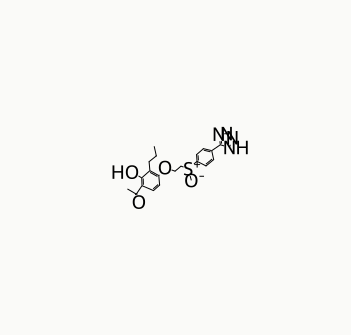 CCCc1c(OCC[S+]([O-])c2ccc(-c3nnn[nH]3)cc2)ccc(C(C)=O)c1O